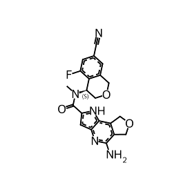 CN(C(=O)c1cc2nc(N)c3c(c2[nH]1)COC3)[C@@H]1COCc2cc(C#N)cc(F)c21